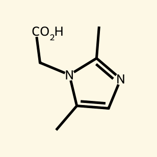 Cc1cnc(C)n1CC(=O)O